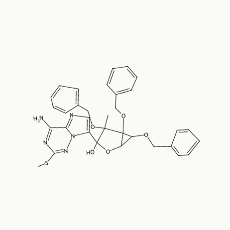 CSc1nc(N)c2ncc(C3(O)OC4C(OCc5ccccc5)C4(OCc4ccccc4)C3(C)OCc3ccccc3)n2n1